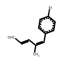 CCc1ccc(/C=C(C)\C=C\C=O)cc1